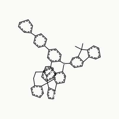 CC1(C)c2ccccc2-c2ccc(N(c3ccc4c(c3)C3(c5ccccc5CCc5ccccc53)c3ccccc3-4)c3ccc(-c4ccc(-c5ccccc5)cc4)cc3-c3ccccc3)cc21